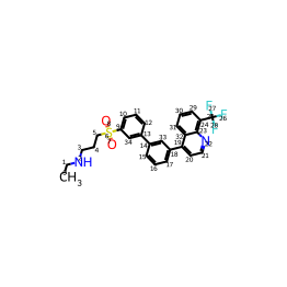 CCNCCCS(=O)(=O)c1cccc(-c2cccc(-c3ccnc4c(C(F)(F)F)cccc34)c2)c1